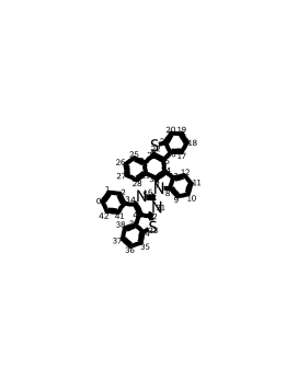 c1ccc(-c2nc(-n3c4ccccc4c4c5c6ccccc6sc5c5ccccc5c43)nc3sc4ccccc4c23)cc1